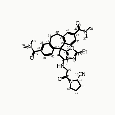 CCc1nnc(C2(C[C@@H](C)NCC(=O)N3CCC[C@H]3C#N)c3ccc(C(=O)N(C)C)cc3CCc3cc(C(=O)N(C)C)ccc32)o1